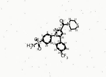 NS(=O)(=O)c1ccc(-n2nc(C(=O)N3CCSCC3)cc2-c2ccc(C(F)(F)F)cc2)cc1